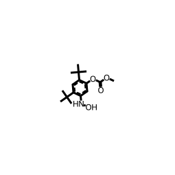 COC(=O)Oc1cc(NO)c(C(C)(C)C)cc1C(C)(C)C